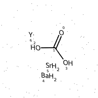 O=C(O)O.[BaH2].[SrH2].[Y]